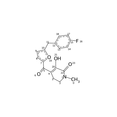 CN1CCC(C(=O)c2ccc(Cc3ccc(F)cc3)o2)=C(O)C1=O